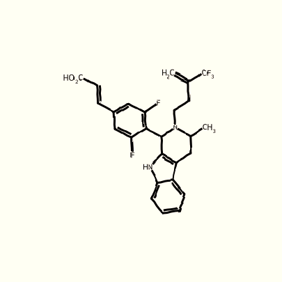 C=C(CCN1C(C)Cc2c([nH]c3ccccc23)C1c1c(F)cc(/C=C/C(=O)O)cc1F)C(F)(F)F